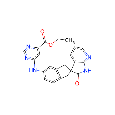 CCOC(=O)c1cc(Nc2ccc3c(c2)CC2(C3)C(=O)Nc3ncccc32)ncn1